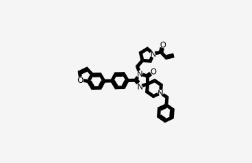 C=CC(=O)N1CCC(CN2C(=O)C3(CCN(Cc4ccccc4)CC3)N=C2c2ccc(-c3ccc4occc4c3)cc2)C1